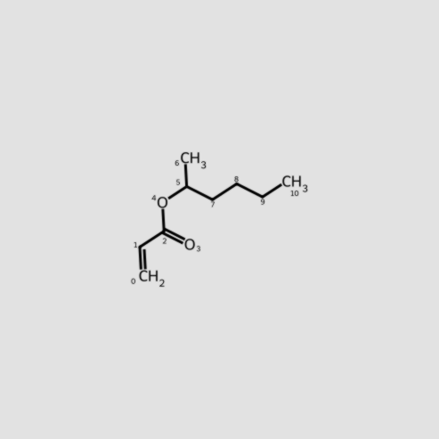 C=CC(=O)OC(C)CCCC